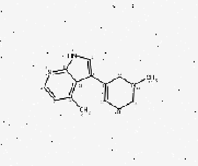 Cc1ccnc2[nH]cc(C3=CCCN(C)C3)c12